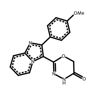 COc1ccc(-c2nc3ccccn3c2C2=NNC(=O)CO2)cc1